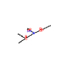 CCCCCCCCCOC(=O)OCCCCCCN(CCCCCCCC(=O)OC(CCCCCCCC)CCCCCCCC)CCCNC(=O)OC(C)(C)C